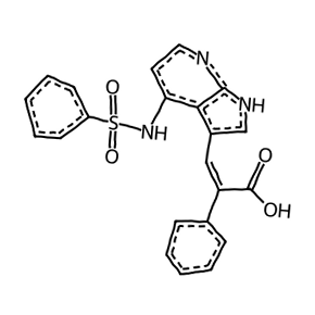 O=C(O)C(=Cc1c[nH]c2nccc(NS(=O)(=O)c3ccccc3)c12)c1ccccc1